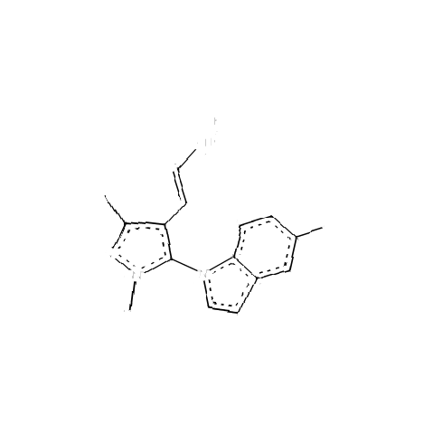 Cc1nn(C)c(-n2ccc3cc(Cl)ccc32)c1/C=C/C=O.[KH]